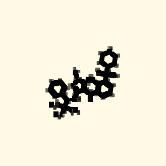 CC(C)(C)[C@@H](Nc1n[s+]([O-])nc1Nc1cccc(S(=O)(=O)N2CCOCC2)c1O)c1ccccc1